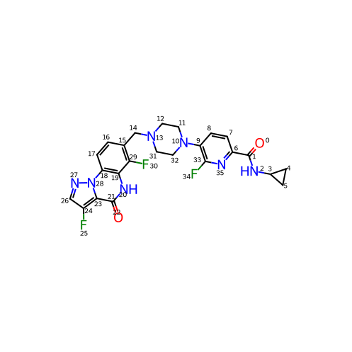 O=C(NC1CC1)c1ccc(N2CCN(Cc3ccc4c([nH]c(=O)c5c(F)cnn54)c3F)CC2)c(F)n1